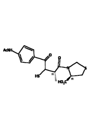 CC(=O)Nc1ccc(C(=O)C(S)[C@@H](C)C(=O)N2CSC[C@H]2C(=O)O)cc1